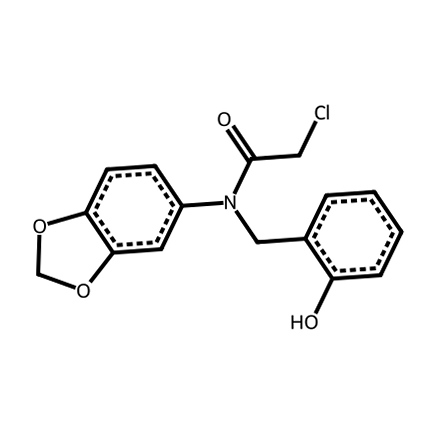 O=C(CCl)N(Cc1ccccc1O)c1ccc2c(c1)OCO2